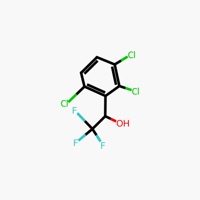 OC(c1c(Cl)ccc(Cl)c1Cl)C(F)(F)F